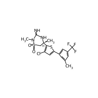 Cc1cc(-c2cc(Cl)c([C@]3(C)CS(=O)(=O)N(C)C(=N)N3)s2)cc(C(F)(F)F)c1